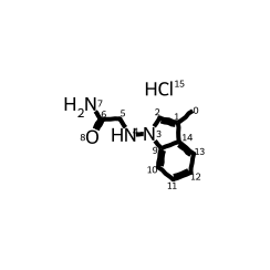 Cc1cn(NCC(N)=O)c2ccccc12.Cl